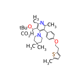 Cc1ccc(CCOc2ccc(-c3c(C)nc(C)c([C@H](OC(C)(C)C)C(=O)O)c3N3CCC(C)(C)CC3)cc2)s1